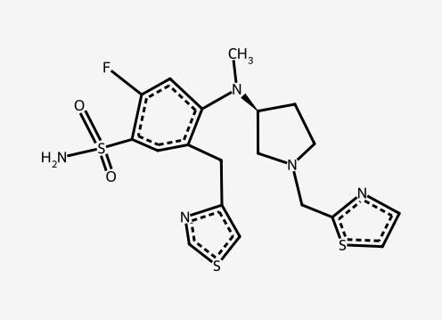 CN(c1cc(F)c(S(N)(=O)=O)cc1Cc1cscn1)[C@H]1CCN(Cc2nccs2)C1